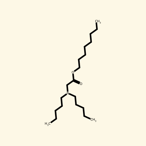 CCCCCCCCOC(=O)CN(CCCCC)CCCCC